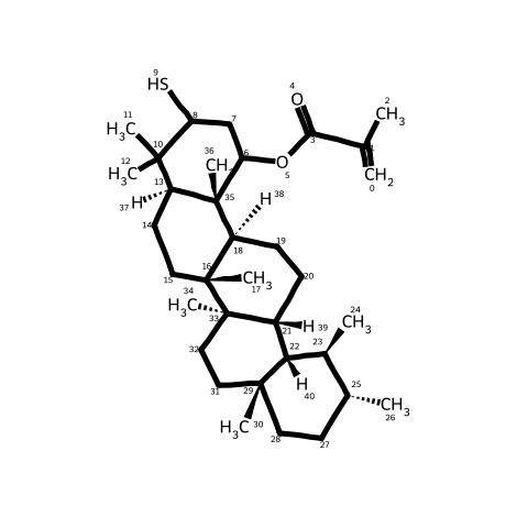 C=C(C)C(=O)OC1CC(S)C(C)(C)[C@@H]2CC[C@]3(C)[C@H](CC[C@@H]4[C@@H]5[C@@H](C)[C@H](C)CC[C@]5(C)CC[C@]43C)[C@@]12C